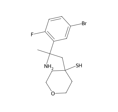 CC(N)(CC1(S)CCOCC1)c1cc(Br)ccc1F